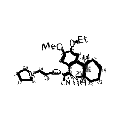 CCOc1cc2c(cc1OC)C(=C(C#N)OCCN1CCCC1)N[C@@H]1CCCC[C@H]21